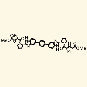 COC(=O)CN[C@H](C(=O)N1CCC[C@H]1c1nc2cc(-c3ccc(-c4ccc5[nH]c([C@@H]6CCCN6C(=O)[C@H](C(C)C)N(C)C(=O)OC)nc5c4)cc3)ccc2[nH]1)C(C)C